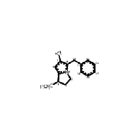 O=C(O)C1CCn2c1cc(Cl)c2Cc1ccccc1